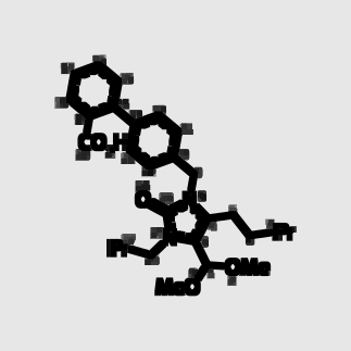 COC(OC)c1c(CCC(C)C)n(Cc2ccc(-c3ccccc3C(=O)O)cc2)c(=O)n1CC(C)C